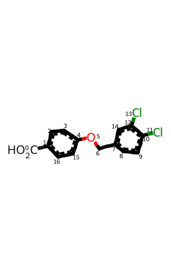 O=C(O)c1ccc(OCc2ccc(Cl)c(Cl)c2)cc1